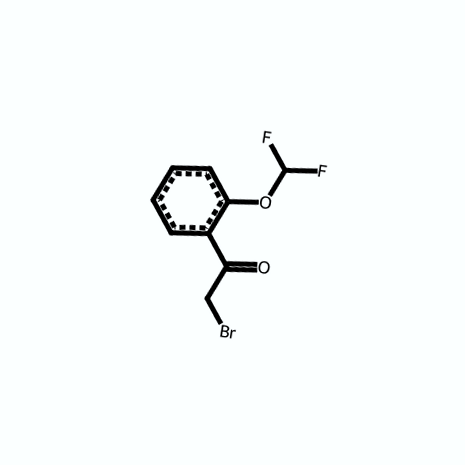 O=C(CBr)c1ccccc1OC(F)F